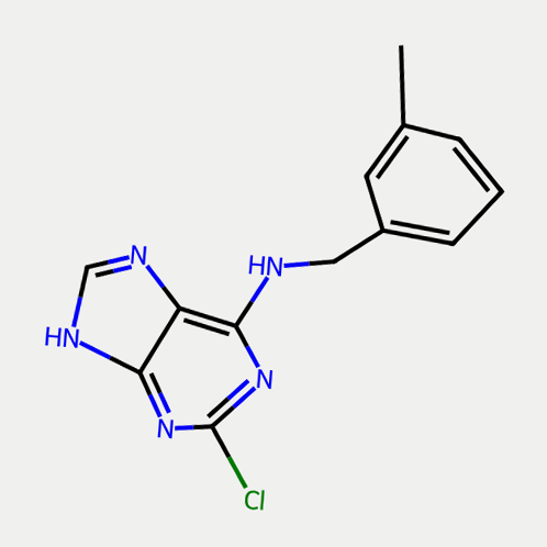 Cc1cccc(CNc2nc(Cl)nc3[nH]cnc23)c1